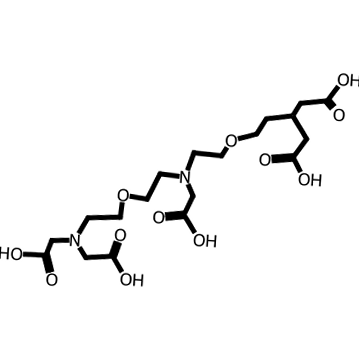 O=C(O)CC(CCOCCN(CCOCCN(CC(=O)O)CC(=O)O)CC(=O)O)CC(=O)O